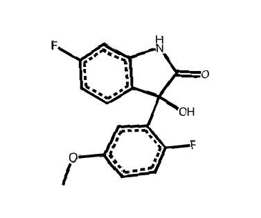 COc1ccc(F)c(C2(O)C(=O)Nc3cc(F)ccc32)c1